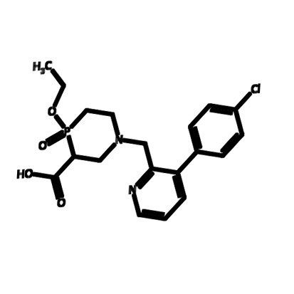 CCOP1(=O)CCN(Cc2ncccc2-c2ccc(Cl)cc2)CC1C(=O)O